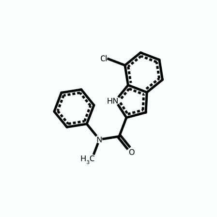 CN(C(=O)c1cc2cccc(Cl)c2[nH]1)c1ccccc1